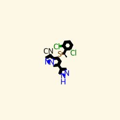 C[C@@H](Sc1cc(-c2cn[nH]c2)cn2ncc(C#N)c12)c1c(Cl)cccc1Cl